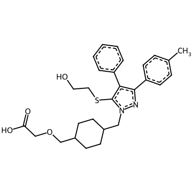 Cc1ccc(-c2nn(CC3CCC(COCC(=O)O)CC3)c(SCCO)c2-c2ccccc2)cc1